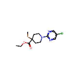 CCOC(=O)C1(SC)CCN(c2ncc(Br)cn2)CC1